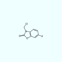 O=c1oc2cc(F)ccc2n1CCl